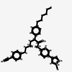 CCCCCCc1ccc(C(CNCCc2ccc(C#N)cc2)C(=O)Nc2ccc(-c3cnn(C)c3)cn2)cc1